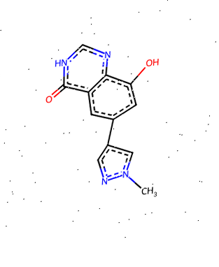 Cn1cc(-c2cc(O)c3nc[nH]c(=O)c3c2)cn1